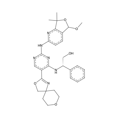 COC1OC(C)(C)c2nc(Nc3ncc(C4=NC5(CCOCC5)CO4)c(N[C@H](CO)c4ccccc4)n3)ccc21